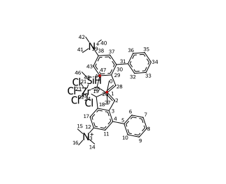 CC1=Cc2c(-c3ccccc3)cc([N+](C)(C)C)cc2[CH]1[Zr]([Cl])([Cl])([Cl])([Cl])([CH]1C(C)=Cc2c(-c3ccccc3)cc([N+](C)(C)C)cc21)[SiH](C)C